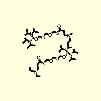 CCN(CC)CCC(=O)SCOCOCOP(N(C(C)C)C(C)C)N(C(C)C)C(C)CCN(C)CCC(=O)SCOCOCOP(N(C(C)C)C(C)C)N(C(C)C)C(C)C